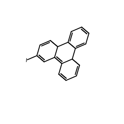 IC1=CC2=C3C=CC=CC3c3ccccc3C2C=C1